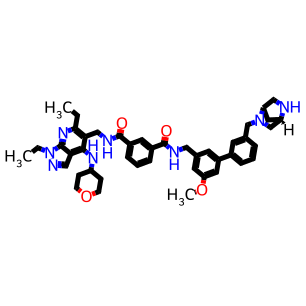 CCc1nc2c(cnn2CC)c(NC2CCOCC2)c1CNC(=O)c1cccc(C(=O)NCc2cc(OC)cc(-c3cccc(CN4C[C@@H]5CC4CN5)c3)c2)c1